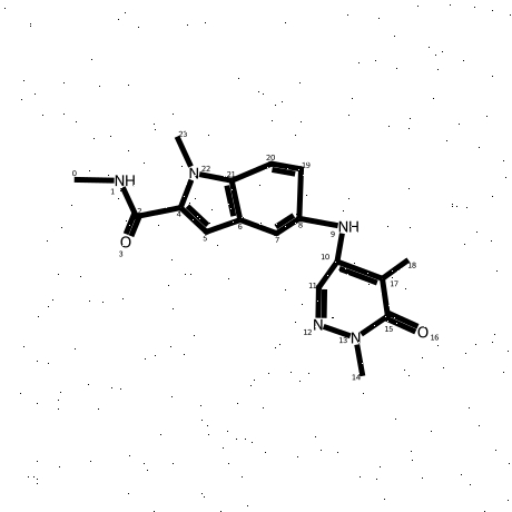 CNC(=O)c1cc2cc(Nc3cnn(C)c(=O)c3C)ccc2n1C